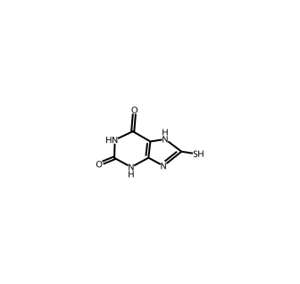 O=c1[nH]c(=O)c2[nH]c(S)nc2[nH]1